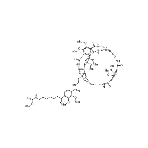 CCCCOc1c(C(=O)CCCCCCNC(=O)OC(C)(C)C)ccc(C(=O)NCCN2CCNC(=O)c3ccc(c(OCCCC)c3OCCCC)C(=O)NCCN3CCNC(=O)c4ccc(c(OCCCC)c4OCCCC)C(=O)NCCN(CCNC(=O)c4ccc(c(OCCCC)c4OCCCC)C(=O)NCC3)CC2)c1OCCCC